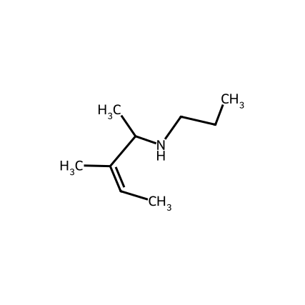 C/C=C(/C)C(C)NCCC